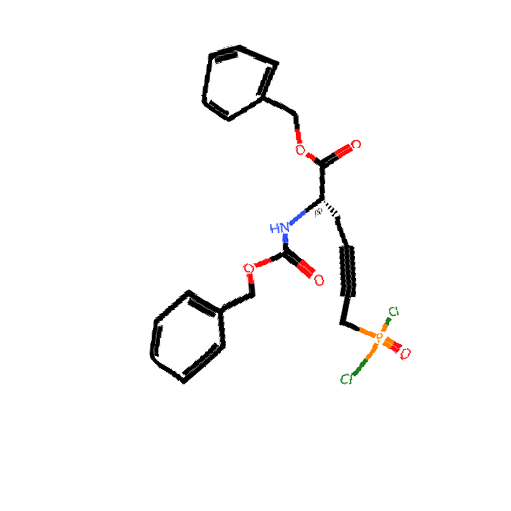 O=C(N[C@@H](CC#CCP(=O)(Cl)Cl)C(=O)OCc1ccccc1)OCc1ccccc1